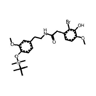 COc1cc(CCNC(=O)Cc2ccc(OC)c(O)c2Br)ccc1O[Si](C)(C)C(C)(C)C